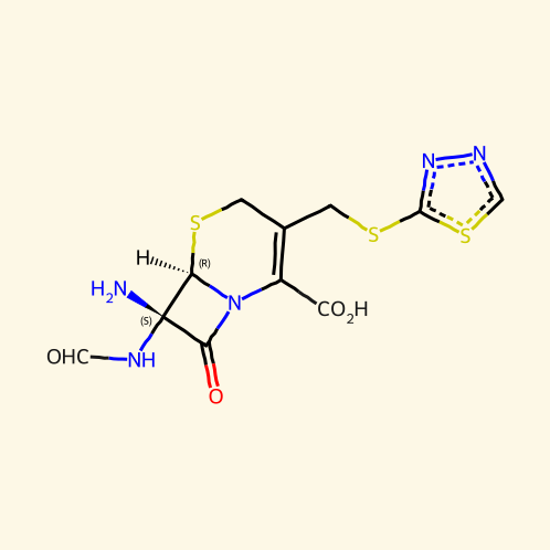 N[C@]1(NC=O)C(=O)N2C(C(=O)O)=C(CSc3nncs3)CS[C@@H]21